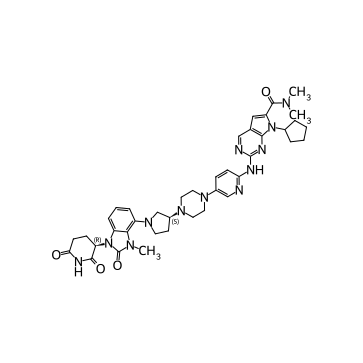 CN(C)C(=O)c1cc2cnc(Nc3ccc(N4CCN([C@H]5CCN(c6cccc7c6n(C)c(=O)n7[C@@H]6CCC(=O)NC6=O)C5)CC4)cn3)nc2n1C1CCCC1